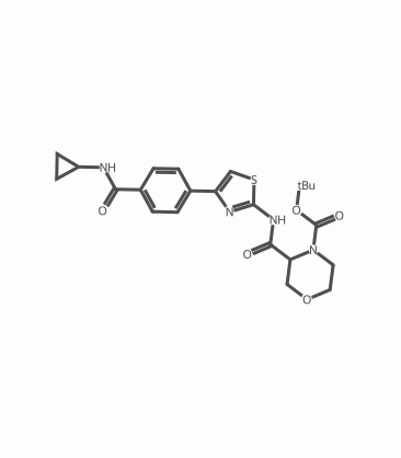 CC(C)(C)OC(=O)N1CCOCC1C(=O)Nc1nc(-c2ccc(C(=O)NC3CC3)cc2)cs1